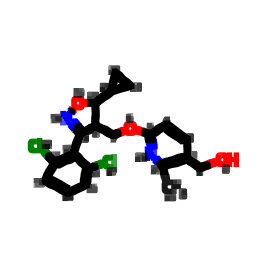 OCc1ccc(OCC2C(c3c(Cl)cccc3Cl)=NOC2C2CC2)nc1C(F)(F)F